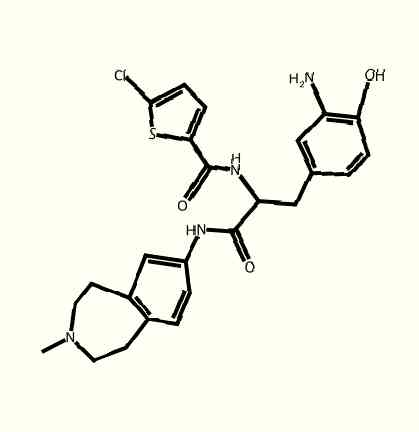 CN1CCc2ccc(NC(=O)C(Cc3ccc(O)c(N)c3)NC(=O)c3ccc(Cl)s3)cc2CC1